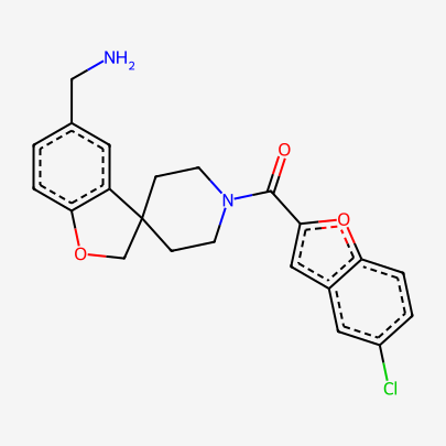 NCc1ccc2c(c1)C1(CCN(C(=O)c3cc4cc(Cl)ccc4o3)CC1)CO2